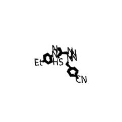 CCc1ccc(-n2ncc(-c3nnnn3Cc3ccc(C#N)cc3)c2S)cc1